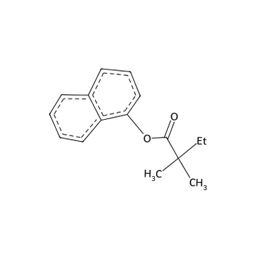 CCC(C)(C)C(=O)Oc1cccc2ccccc12